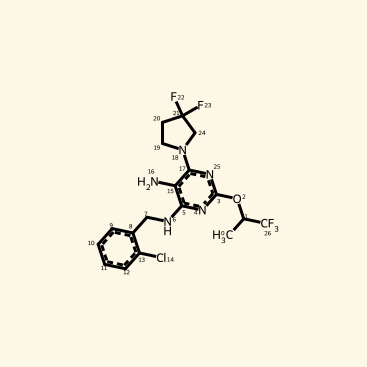 CC(Oc1nc(NCc2ccccc2Cl)c(N)c(N2CCC(F)(F)C2)n1)C(F)(F)F